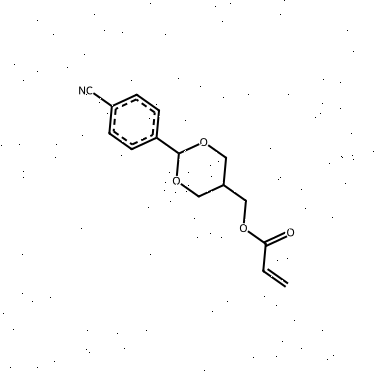 C=CC(=O)OCC1COC(c2ccc(C#N)cc2)OC1